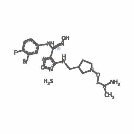 CN(N)SON1CCC(CNc2nonc2/C(=N/O)Nc2ccc(F)c(Br)c2)C1.S